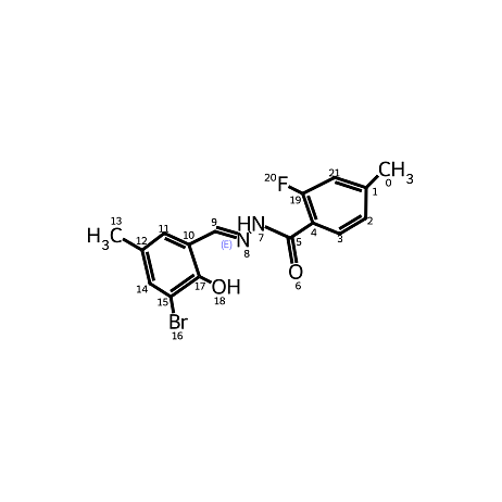 Cc1ccc(C(=O)N/N=C/c2cc(C)cc(Br)c2O)c(F)c1